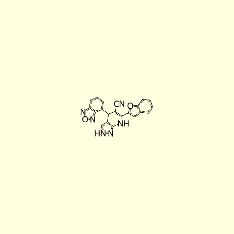 N#CC1=C(c2cc3ccccc3o2)Nc2n[nH]cc2C1c1cccc2nonc12